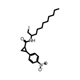 CCCCCCCCCC(CI)NC(=O)C1CC1c1ccc([N+](=O)[O-])cc1